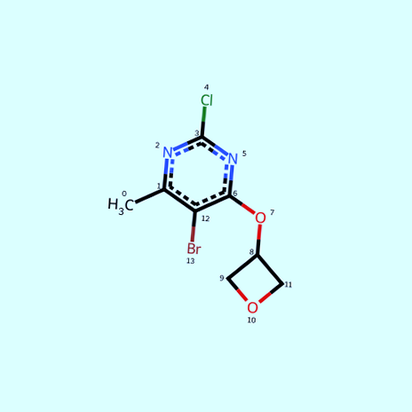 Cc1nc(Cl)nc(OC2COC2)c1Br